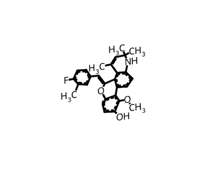 COc1c(O)ccc2c1-c1ccc3c(c1/C(=C/c1ccc(F)c(C)c1)O2)C(C)=CC(C)(C)N3